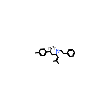 CCCN(CCc1ccccc1)C(C=C(C)C)C[C@H](C)c1ccc(C)cc1